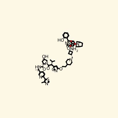 Cc1ncsc1-c1ccc([C@H](C)NC(=O)[C@@H]2C[C@@H](O)CN2C(=O)[C@H](c2cc(OCCC3CCN(C[C@H]4C[C@H](Oc5cc(N6C7CCC6CN(c6cc(-c8ccccc8O)nnc6N)C7)ccn5)C4)CC3)no2)C(C)C)cn1